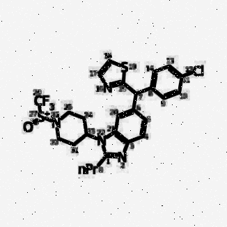 CCCc1nc2ccc(C(c3ccc(Cl)cc3)c3nccs3)cc2n1C1CCN([S+]([O-])C(F)(F)F)CC1